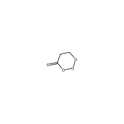 O=C1CCOOO1